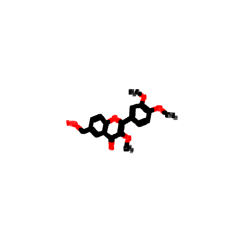 COc1ccc(-c2oc3ccc(CO)cc3c(=O)c2OC)cc1OC